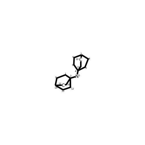 C1CC2([N]C34CCC(CC3)CC4)CCC1CC2